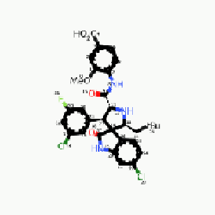 COc1cc(C(=O)O)ccc1NC(=O)[C@@H]1N[C@@H](CC(C)(C)C)C2(C(=O)Nc3cc(Cl)ccc32)[C@H]1c1cc(F)cc(Cl)c1